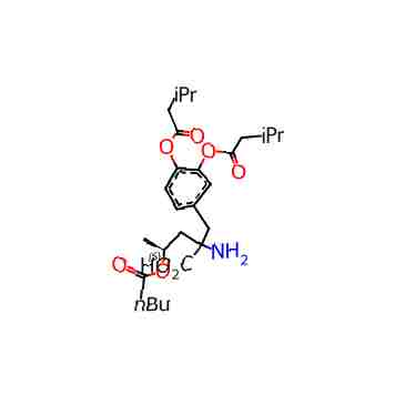 CCCCC(=O)O[C@@H](C)CC(N)(Cc1ccc(OC(=O)CC(C)C)c(OC(=O)CC(C)C)c1)C(=O)O